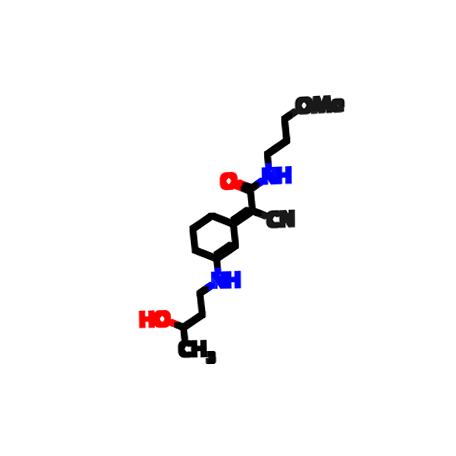 COCCCNC(=O)C(C#N)=C1C=C(NCCC(C)O)CCC1